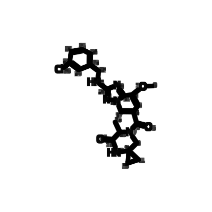 COc1cc(C(=O)N2CC3(CC3)NC(=O)C2C)cn2nc(NCc3cccc(Cl)c3)nc12